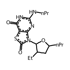 CCCNc1nc2c(sc(=O)n2C2OC(CCC)CC2CC)c(=O)[nH]1